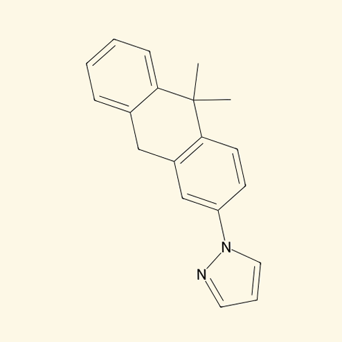 CC1(C)c2ccccc2Cc2cc(-n3cccn3)ccc21